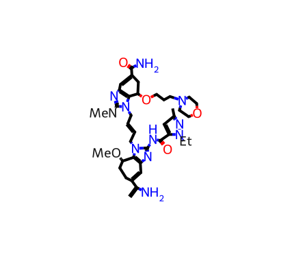 C=C(N)C1=Cc2nc(NC(=O)c3cc(C)nn3CC)n(C/C=C/Cn3c(NC)nc4c3C(OCCCN3CCOCC3)CC(C(N)=O)=C4)c2C(OC)CC1